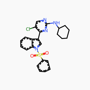 O=S(=O)(c1ccccc1)n1cc(-c2nc(NC3CCCCC3)ncc2Cl)c2ccccc21